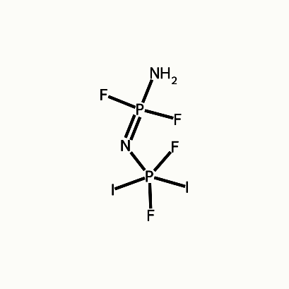 NP(F)(F)=NP(F)(F)(I)I